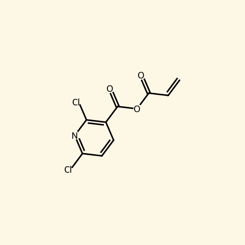 C=CC(=O)OC(=O)c1ccc(Cl)nc1Cl